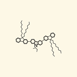 CCCCCCCCC1(CCCCCCCC)c2ccccc2-c2ccc(-c3ccc4c(c3)c3ccc(-c5ccc6c(c5)C(CCCCCCCC)(CCCCCCCC)c5ccccc5-6)cc3n4C(C)CC)cc21